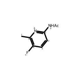 CC(=O)Nc1ccc(F)c(C)n1